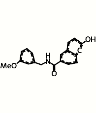 COc1cccc(CNC(=O)c2ccc3cc(O)ccc3c2)c1